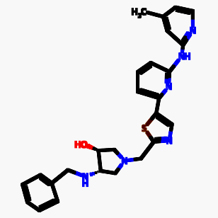 Cc1ccnc(Nc2cccc(-c3cnc(CN4C[C@H](NCc5ccccc5)[C@@H](O)C4)s3)n2)c1